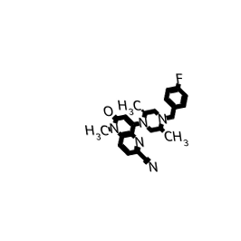 CC1CN(c2cc(=O)n(C)c3ccc(C#N)nc23)[C@@H](C)CN1Cc1ccc(F)cc1